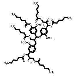 CCCCCC(=O)OCC(C)C(OC(=O)CCCCC)c1ccc(CC(COC(=O)CCCCC)C(Oc2ccc(C(OC(=O)CCCCC)C(C)COC(=O)CCCCC)cc2OC)c2ccc(OC(=O)CCCCC)c(OC)c2)c(OC)c1